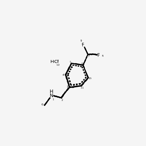 CNCc1ccc(C(F)F)cc1.Cl